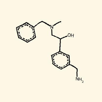 CN(Cc1ccccc1)CC(O)c1cccc(CN)c1